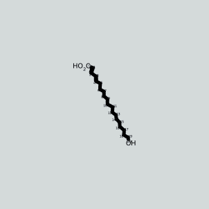 O=C(O)C=CC=CCCCCCCCCCCCCCCCO